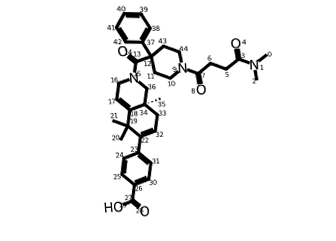 CN(C)C(=O)CCC(=O)N1CCC(C(=O)N2CC=C3C(C)(C)C(c4ccc(C(=O)O)cc4)=CC[C@]3(C)C2)(c2ccccc2)CC1